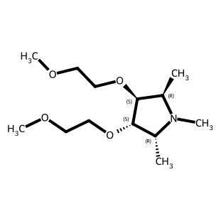 COCCO[C@@H]1[C@@H](OCCOC)[C@@H](C)N(C)[C@@H]1C